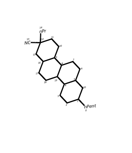 CCCCCC1CCC2C(CCC3C4CCC(C#N)(CCC)CC4CCC23)C1